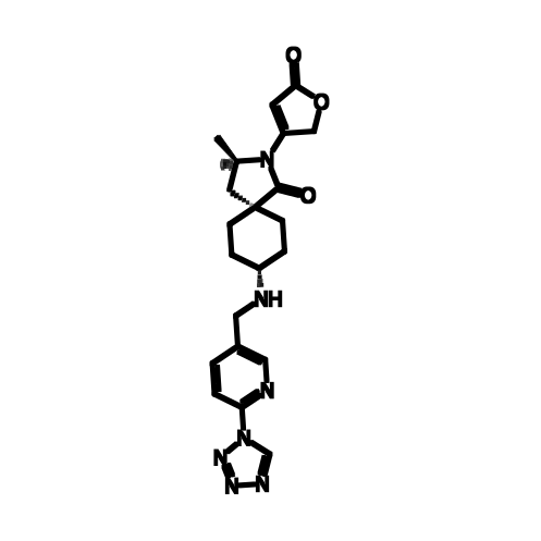 C[C@@H]1C[C@]2(CC[C@@H](NCc3ccc(-n4cnnn4)nc3)CC2)C(=O)N1C1=CC(=O)OC1